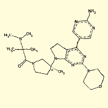 CN(C)C(C)(C)C(=O)N1CC[C@](C)(N2CCc3c(-c4cnc(N)nc4)nc(N4CCOCC4)nc32)C1